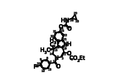 CCOC(=O)OC1=CN(C(=O)c2ccc(F)cc2)CC(C)(C)c2c1[nH]c1cc(OC(=O)NC3CC3)ccc21